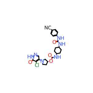 N#Cc1ccc(NC(=O)NC2CCC(NC(=O)O[C@@H]3CCN(c4cn[nH]c(=O)c4Cl)C3)CC2)cc1